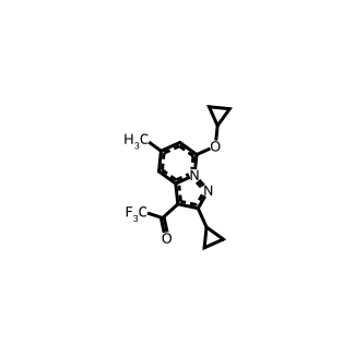 Cc1cc(OC2CC2)n2nc(C3CC3)c(C(=O)C(F)(F)F)c2c1